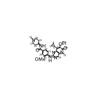 CCOc1c(C2CC2)c2nc(Nc3ccc(C(=O)NC4CCN(C)CC4)cc3OC)ncc2n(C)c1=O